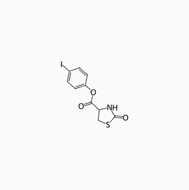 O=C1NC(C(=O)Oc2ccc(I)cc2)CS1